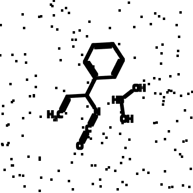 C=CC(N=C=O)c1ccccc1.OBO